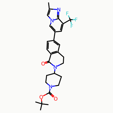 Cc1cn2cc(-c3ccc4c(c3)CCN(C3CCN(C(=O)OC(C)(C)C)CC3)C4=O)cc(C(F)(F)F)c2n1